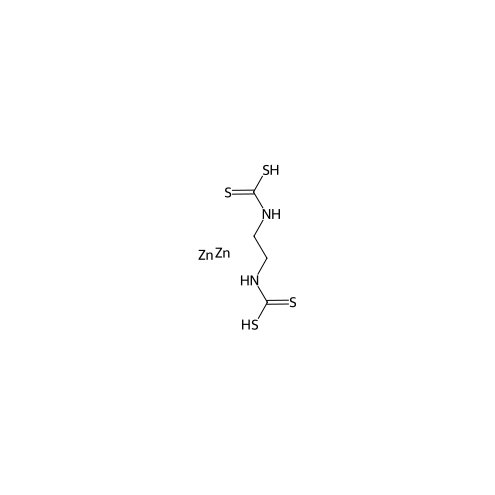 S=C(S)NCCNC(=S)S.[Zn].[Zn]